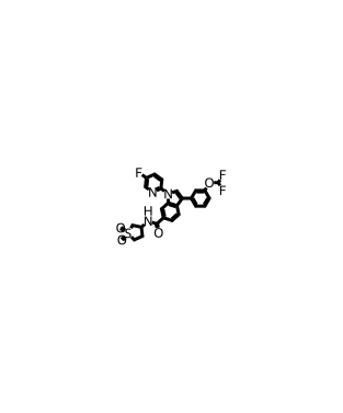 O=C(NC1CCS(=O)(=O)C1)c1ccc2c(-c3cccc(OC(F)F)c3)cn(-c3ccc(F)cn3)c2c1